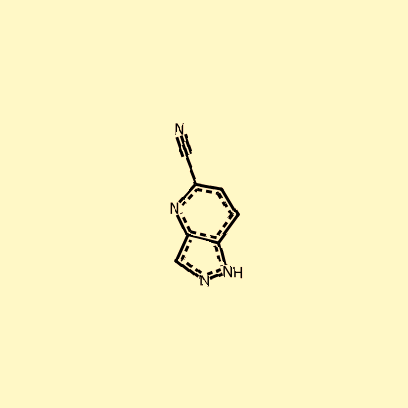 N#Cc1ccc2[nH]ncc2n1